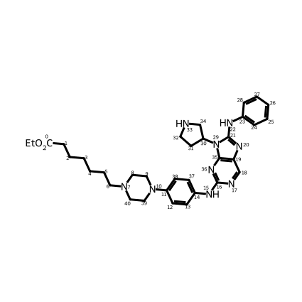 CCOC(=O)CCCCCCN1CCN(c2ccc(Nc3ncc4nc(Nc5ccccc5)n(C5CCNC5)c4n3)cc2)CC1